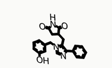 O=C1CC(Cc2c(-c3ccccc3)ncn2Cc2cccc(O)c2)C(=O)N1